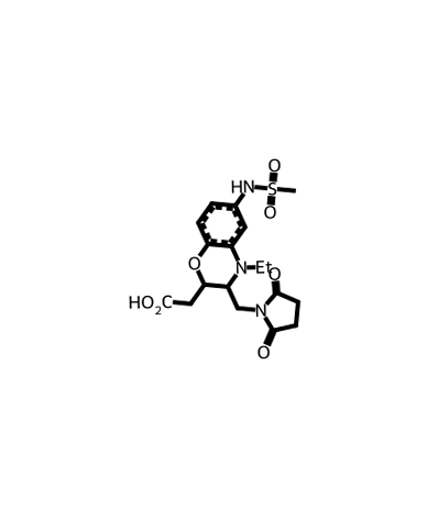 CCN1c2cc(NS(C)(=O)=O)ccc2OC(CC(=O)O)C1CN1C(=O)CCC1=O